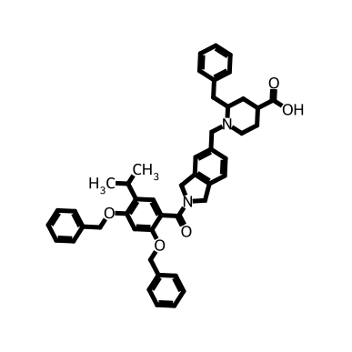 CC(C)c1cc(C(=O)N2Cc3ccc(CN4CCC(C(=O)O)CC4Cc4ccccc4)cc3C2)c(OCc2ccccc2)cc1OCc1ccccc1